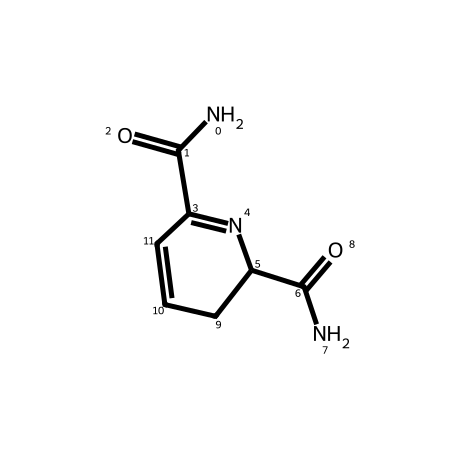 NC(=O)C1=NC(C(N)=O)CC=C1